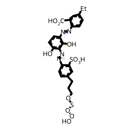 CCc1ccc(/N=N/c2ccc(O)c(/N=N/c3ccc(CCCOSOOO)cc3S(=O)(=O)O)c2O)c(C(=O)O)c1